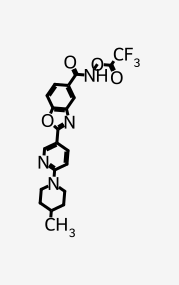 CC1CCN(c2ccc(-c3nc4cc(C(=O)NOC(=O)C(F)(F)F)ccc4o3)cn2)CC1